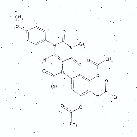 COc1ccc(-n2c(N)c(N(C(=O)O)c3cc(OC(C)=O)c(OC(C)=O)c(OC(C)=O)c3)c(=O)n(C)c2=O)cc1